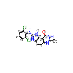 CCc1nc2ccc3nc(Nc4c(Cl)cccc4Cl)n(C)c3c2c(=O)[nH]1